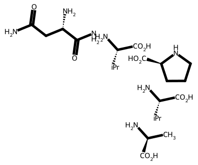 CC(C)[C@H](N)C(=O)O.CC(C)[C@H](N)C(=O)O.C[C@H](N)C(=O)O.NC(=O)C[C@H](N)C(N)=O.O=C(O)[C@@H]1CCCN1